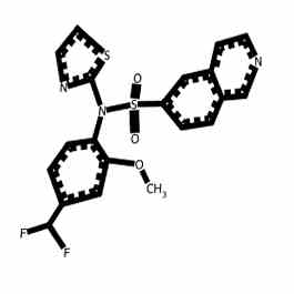 COc1cc(C(F)F)ccc1N(c1nccs1)S(=O)(=O)c1ccc2cnccc2c1